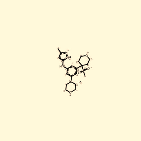 Cc1cc(Nc2nc(N3CCOC[C@H]3C)cc(C3(S(C)(=O)=O)CCOCC3)n2)[nH]n1